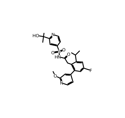 COc1cc(-c2cc(F)cc(C(C)C)c2CC(=O)NS(=O)(=O)c2ccnc(C(C)(C)O)c2)ccn1